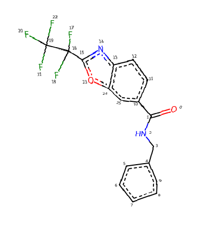 O=C(NCc1ccccc1)c1ccc2nc(C(F)(F)C(F)(F)F)oc2c1